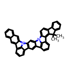 CC1(C)c2ccccc2-c2ccc3c(c21)c1cccc2c4cc5c6cccc7c8cc9ccccc9cc8n(c5cc4n3c21)c76